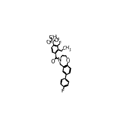 CCc1c(C(=O)N2CCOc3ccc(-c4ccc(F)cc4)cc3C2)ccc(S(C)(=O)=O)c1F